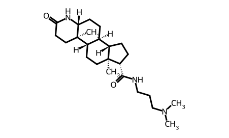 CN(C)CCCNC(=O)[C@H]1CC[C@H]2[C@@H]3CC[C@H]4NC(=O)CC[C@]4(C)[C@H]3CC[C@]12C